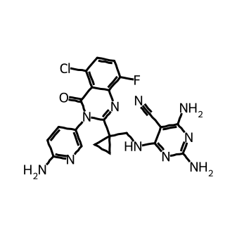 N#Cc1c(N)nc(N)nc1NCC1(c2nc3c(F)ccc(Cl)c3c(=O)n2-c2ccc(N)nc2)CC1